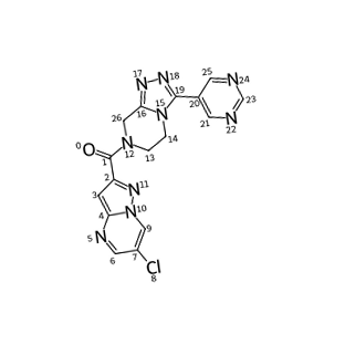 O=C(c1cc2ncc(Cl)cn2n1)N1CCn2c(nnc2-c2cncnc2)C1